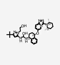 C[C@@H]1CCC[C@H](C)N1c1nnc2ccc(O[C@@H]3CC[C@H](NC(O)Nc4cc(C(C)(C)C)nn4CCO)c4ccccc43)cn12